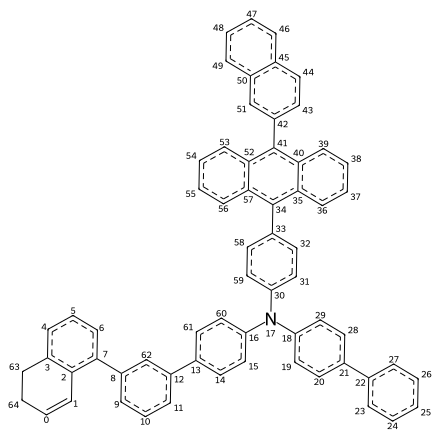 C1=Cc2c(cccc2-c2cccc(-c3ccc(N(c4ccc(-c5ccccc5)cc4)c4ccc(-c5c6ccccc6c(-c6ccc7ccccc7c6)c6ccccc56)cc4)cc3)c2)CC1